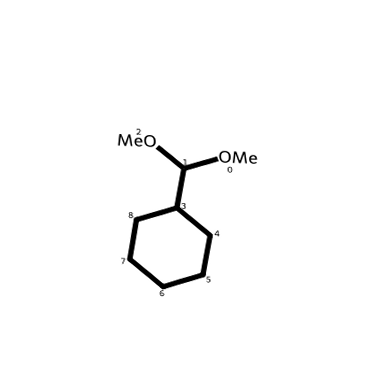 CO[C](OC)C1CCCCC1